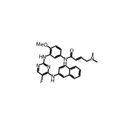 COc1ccc(NC(=O)/C=C/CN(C)C)cc1Nc1ncc(F)c(Nc2ccc3ccccc3c2)n1